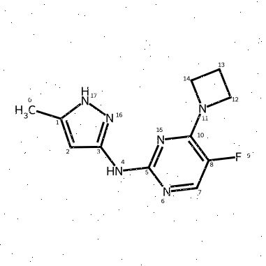 Cc1cc(Nc2ncc(F)c(N3CCC3)n2)n[nH]1